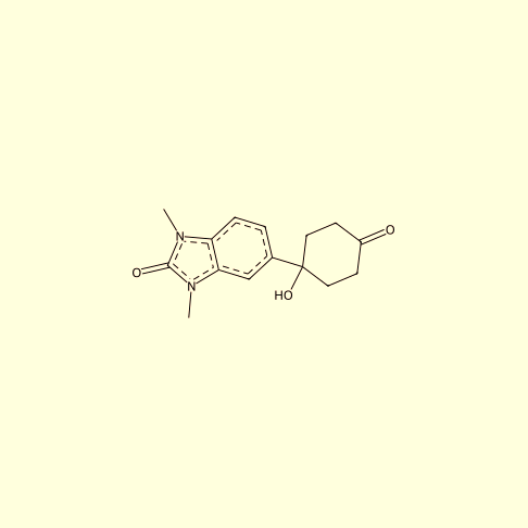 Cn1c(=O)n(C)c2cc(C3(O)CCC(=O)CC3)ccc21